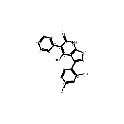 O=c1[nH]c2scc(-c3ccc(F)cc3O)c2c(O)c1-c1ccccc1